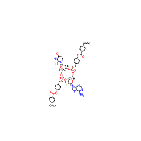 COc1ccc(C(=O)Oc2ccc(CSP3(=O)OC[C@H]4O[C@@H](n5ccc(=O)[nH]c5=O)C[C@H]4OP(=O)(SCc4ccc(OC(=O)c5ccc(OC)cc5)cc4)OC[C@H]4O[C@@H](n5cnc6c(N)ncnc65)C(F)[C@H]4O3)cc2)cc1